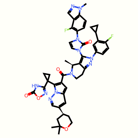 C[C@H]1c2c(nn(-c3ccc(F)c(C4CC4)c3)c2-n2ccn(-c3ccc4c(cnn4C)c3F)c2=O)CCN1C(=O)c1cc2cc([C@H]3CCOC(C)(C)C3)cnn2c1C1(c2noc(=O)[nH]2)CC1